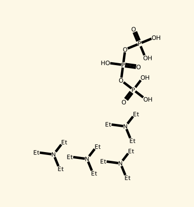 CCN(CC)CC.CCN(CC)CC.CCN(CC)CC.CCN(CC)CC.O=P(O)(O)OP(=O)(O)OP(=O)(O)O